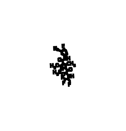 Cc1c(C(=O)Nc2ccc(F)c(C#N)c2)c(C)n(C)c1C(=O)C(=O)NC(CF)C(F)F